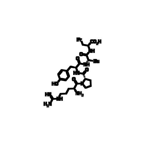 CC[C@H](C)[C@H](NC(=O)[C@H](Cc1ccc(O)cc1)NC(=O)[C@@H]1CCCN1C(=O)[C@@H](N)CCCNC(=N)N)C(=O)N[C@@H](CC(C)C)C(=O)O